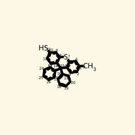 Cc1ccc2c(c1)Sc1cc(S)ccc1C2(C1=CC=CCC1)c1ccccc1